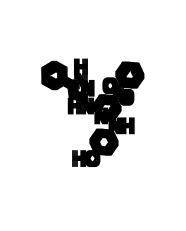 O=S(=O)(c1ccccc1)c1cc(Nc2cc(-c3ccccc3)[nH]n2)nc(N[C@H]2CC[C@H](O)CC2)c1